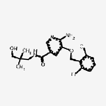 CC(C)(CO)CNC(=O)c1cnc(N)c(OCc2c(Cl)cccc2Cl)c1